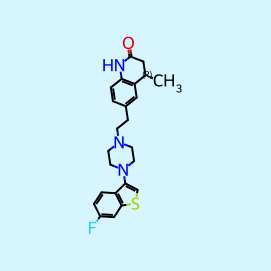 C[C@@H]1CC(=O)Nc2ccc(CCN3CCN(c4csc5cc(F)ccc45)CC3)cc21